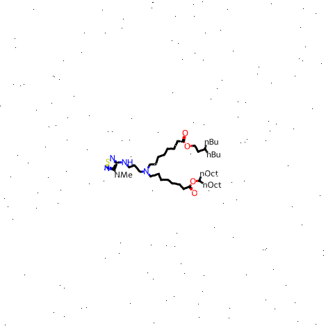 CCCCCCCCC(CCCCCCCC)OC(=O)CCCCCCCN(CCCCCCCC(=O)OCCC(CCCC)CCCC)CCCNc1nsnc1NC